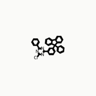 Clc1nc(-c2ccccc2)nc(-c2cccc(C3(c4ccccc4)c4ccccc4-c4ccccc43)c2)n1